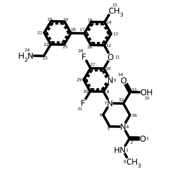 CNC(=O)N1CCN(c2nc(Oc3cc(C)cc(-c4cccc(CN)c4)c3)c(F)cc2F)C(C(=O)O)C1